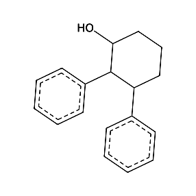 OC1CCCC(c2ccccc2)C1c1ccccc1